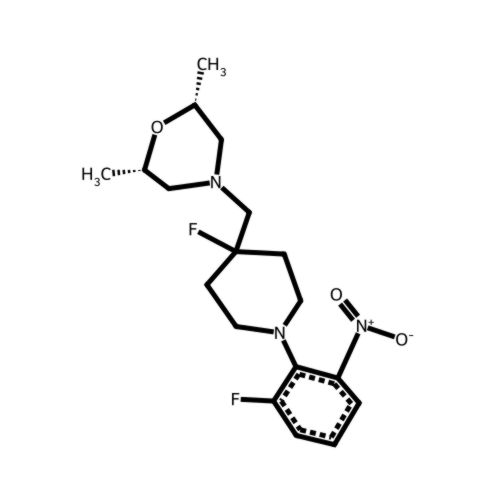 C[C@@H]1CN(CC2(F)CCN(c3c(F)cccc3[N+](=O)[O-])CC2)C[C@H](C)O1